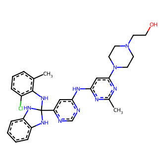 Cc1nc(Nc2cc(C3(Nc4c(C)cccc4Cl)Nc4ccccc4N3)ncn2)cc(N2CCN(CCO)CC2)n1